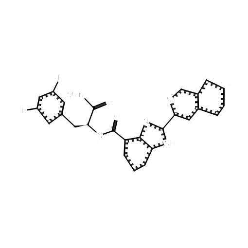 CNC(=O)[C@H](Cc1cc(F)cc(F)c1)NC(=O)c1cccc2[nH]c(-c3cc4ccccc4cn3)nc12